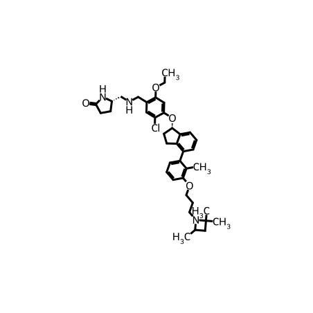 CCOc1cc(O[C@H]2CCc3c(-c4cccc(OCCCN5C(C)CC5(C)C)c4C)cccc32)c(Cl)cc1CNC[C@@H]1CCC(=O)N1